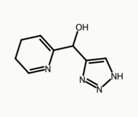 OC(C1=CCCC=N1)c1c[nH]nn1